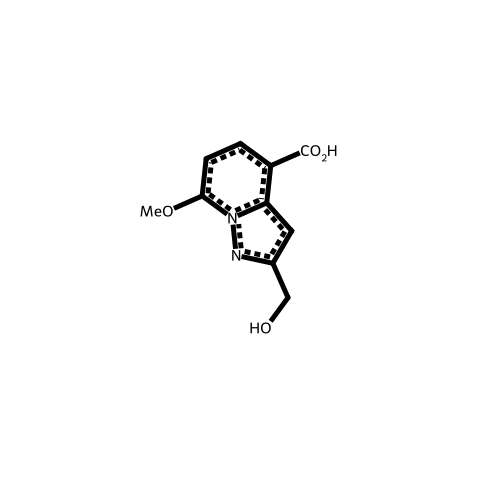 COc1ccc(C(=O)O)c2cc(CO)nn12